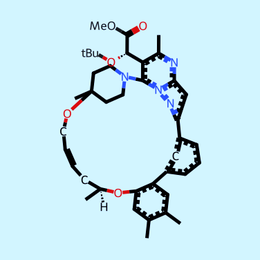 COC(=O)[C@@H](OC(C)(C)C)c1c(C)nc2cc3nn2c1N1CCC(C)(CC1)OCC=CC[C@H](C)Oc1cc(C)c(C)cc1-c1cccc-3c1